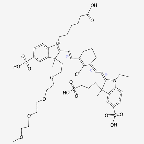 CCN1/C(=C/C=C2\CCCC(/C=C/C3=[N+](CCCCCC(=O)O)c4ccc(S(=O)(=O)O)cc4C3(C)CCOCCOCCOCCOC)=C2Cl)C(C)(CCCS(=O)(=O)O)c2cc(S(=O)(=O)O)ccc21